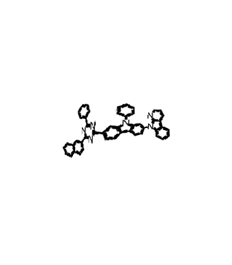 c1ccc(-c2nc(-c3ccc4ccccc4c3)nc(-c3ccc4c5ccc(-n6c7ccccc7c7cccnc76)cc5n(-c5ccccc5)c4c3)n2)cc1